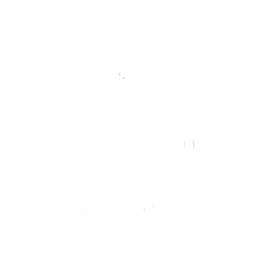 CC(N(C)C)C1(c2ccc(Cl)c(C(F)(F)F)c2)CCC1.Cl